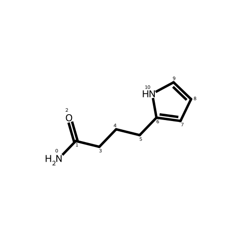 NC(=O)CCCc1ccc[nH]1